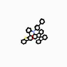 c1ccc(-c2ccc(N(c3ccccc3-c3cccc4c3sc3ccccc34)c3cccc4c3-c3ccccc3C43c4ccccc4-c4ccccc43)cc2)cc1